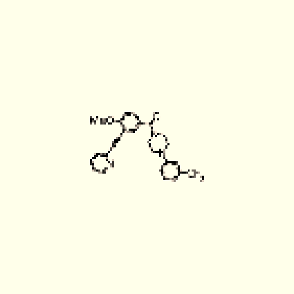 COc1ccc(C(=O)N2CCN(c3cccc(C(F)(F)F)c3)CC2)cc1C#Cc1ccccn1